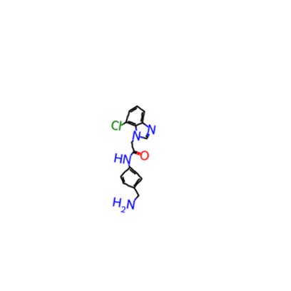 NCc1ccc(NC(=O)Cn2cnc3cccc(Cl)c32)cc1